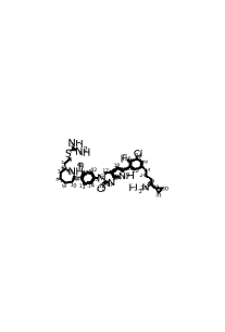 N=C(N)SCC[C@@H]1CCCC[C@@H](c2ccc(-n3cc4cc(-c5cc(CCC[C@@H](N)C6CC6)cc(Cl)c5F)[nH]c4nc3=O)cc2F)N1